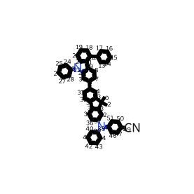 CC1(C)c2cc(-c3ccc4c5c(-c6ccccc6)cccc5n(-c5ccccc5)c4c3)ccc2-c2ccc(N(c3ccccc3)c3ccc(C#N)cc3)cc21